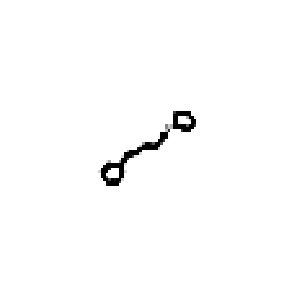 C1=CCCC1.N#CC=CC=Cc1ccccc1